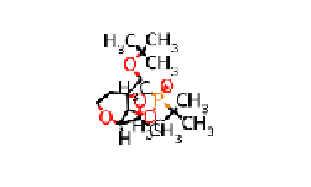 C[C@@H]1O[C@@]2(COC(C)(C)C)CCO[C@H]1C2OP(C)(=O)C(C)(C)C